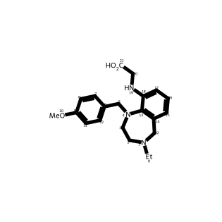 CCN1CCN(Cc2ccc(OC)cc2)c2c(cccc2NCC(=O)O)C1